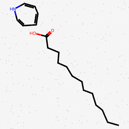 C1=CC=CNC=C1.CCCCCCCCCCCCC(=O)O